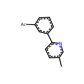 [CH2]c1ccc(-c2cccc(C(C)=O)c2)nc1